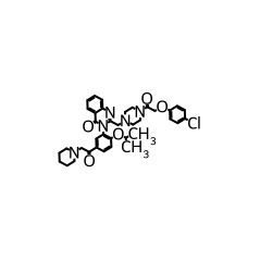 CC(C)Oc1ccc(C(=O)CN2CCCCC2)cc1-n1c(CN2CCN(C(=O)COc3ccc(Cl)cc3)CC2)nc2ccccc2c1=O